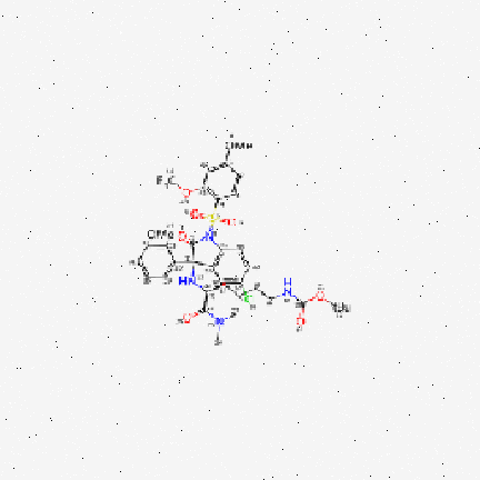 COc1ccc(S(=O)(=O)N2C(=O)C(N[C@@H](CCCCNC(=O)OC(C)(C)C)C(=O)N(C)C)(c3ccccc3OC)c3cc(Cl)ccc32)c(OC(F)(F)F)c1